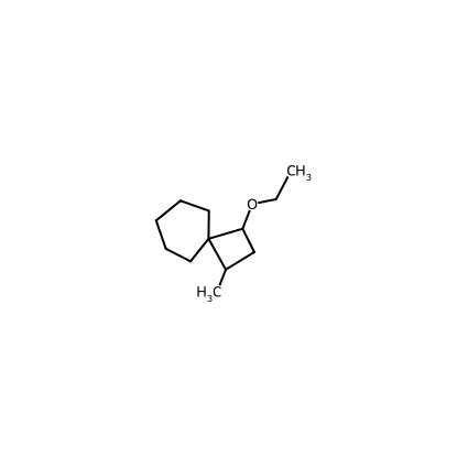 CCOC1CC(C)C12CCCCC2